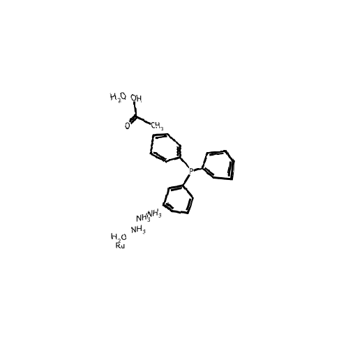 CC(=O)O.N.N.N.O.O.[Ru].c1ccc(P(c2ccccc2)c2ccccc2)cc1